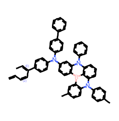 C=C/C=C\C(=C/C)c1ccc(N(c2ccc(-c3ccccc3)cc2)c2ccc3c(c2)N(c2ccccc2)c2cccc4c2B3c2cc(C)ccc2N4c2ccc(C)cc2)cc1